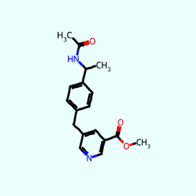 COC(=O)c1cncc(Cc2ccc(C(C)NC(C)=O)cc2)c1